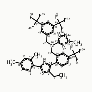 CCc1sc(-c2ncc(C)cc2C)nc1-c1ccc(C(F)(F)F)cc1CN(Cc1cc(C(F)(F)F)cc(C(F)(F)F)c1)c1nnn(C)n1